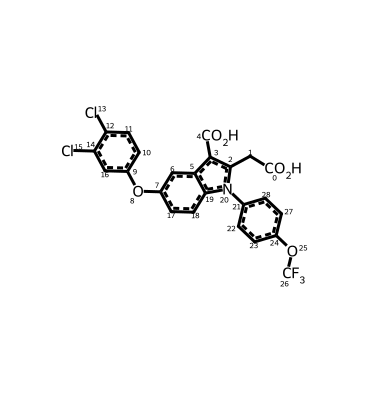 O=C(O)Cc1c(C(=O)O)c2cc(Oc3ccc(Cl)c(Cl)c3)ccc2n1-c1ccc(OC(F)(F)F)cc1